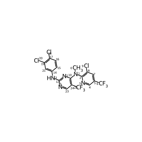 CN(c1ncc(C(F)(F)F)cc1Cl)c1nc(Nc2ccc(Cl)c(Cl)c2)ncc1C(F)(F)F